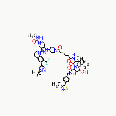 CNC(=O)N1CCc2c(c(N3CCCc4cc(-c5cnn(C)c5)c(C(F)F)cc43)nn2C2CCN(C(=O)CCCCC(=O)N[C@H](C(=O)N3C[C@H](O)C[C@H]3C(=O)NCc3ccc(-c4scnc4C)cc3)C(C)(C)C)CC2)C1